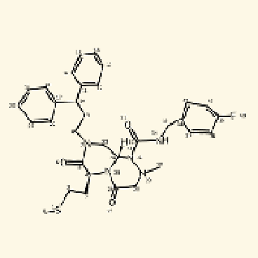 CSCC[C@H]1C(=O)N(CCC(c2ccccc2)c2ccccc2)C[C@H]2N1C(=O)CN(C)N2C(=O)NCc1ccc(F)cc1